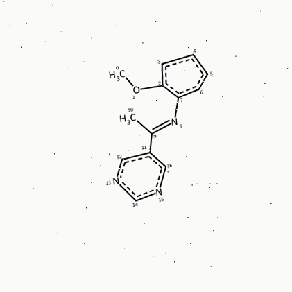 COc1ccccc1N=C(C)c1cncnc1